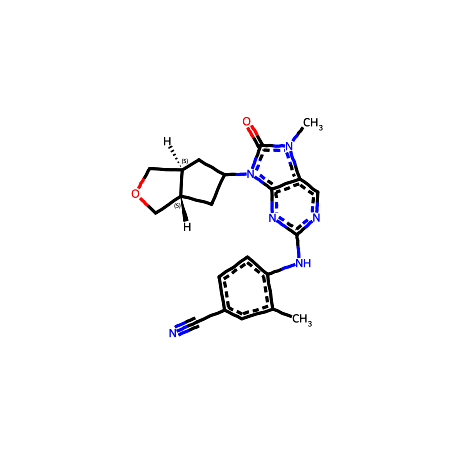 Cc1cc(C#N)ccc1Nc1ncc2c(n1)n(C1C[C@@H]3COC[C@H]3C1)c(=O)n2C